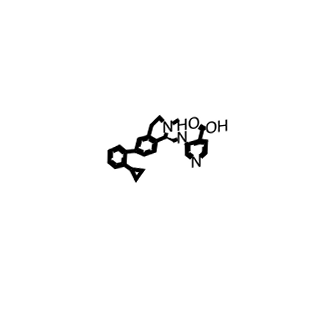 CN1CCc2cc(-c3ccccc3C3CC3)ccc2[C@@H]1CNc1cnccc1C(=O)O